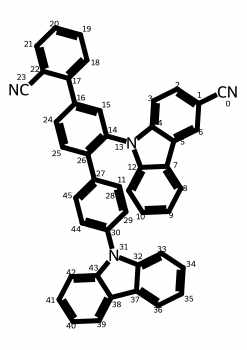 N#Cc1ccc2c(c1)c1ccccc1n2-c1cc(-c2ccccc2C#N)ccc1-c1ccc(-n2c3ccccc3c3ccccc32)cc1